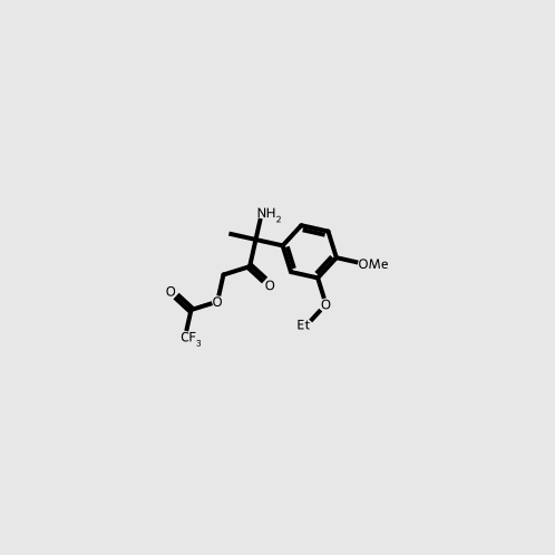 CCOc1cc(C(C)(N)C(=O)COC(=O)C(F)(F)F)ccc1OC